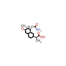 CC(N)=O.COc1ccc2cc([C@H](C)C(=O)O)ccc2c1